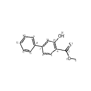 COC(=S)c1ccc(-c2ccccc2)cc1O